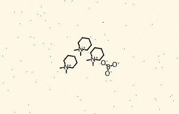 C[N+]1(C)CCCCC1.C[N+]1(C)CCCCC1.C[N+]1(C)CCCCC1.[O-]B([O-])[O-]